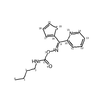 CCCCNC(=O)ON=C(c1ccccn1)c1cccs1